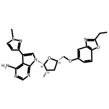 CCc1nc2cc(OC[C@@H]3C[C@H](F)[C@H](n4cc(-c5ccn(C)n5)c5c(N)ncnc54)O3)ccc2o1